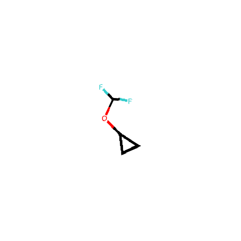 F[C](F)OC1CC1